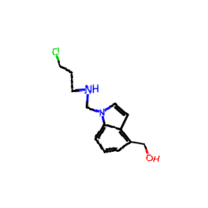 OCc1cccc2c1ccn2CNCCCCl